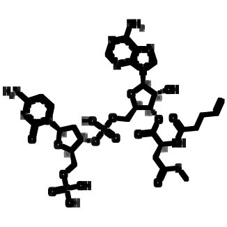 C=CCCC(=O)N[C@@H](CC(=O)SC)C(=O)O[C@H]1[C@@H](O)[C@H](n2cnc3c(N)ncnc32)O[C@@H]1COP(=O)(O)O[C@H]1C[C@H](n2ccc(N)nc2=O)O[C@@H]1COP(=O)(O)O